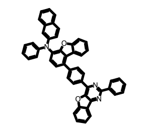 c1ccc(-c2nc(-c3ccc(-c4ccc(N(c5ccccc5)c5ccc6ccccc6c5)c5oc6ccccc6c45)cc3)c3oc4ccccc4c3n2)cc1